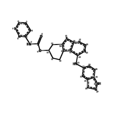 O=C(Nc1cccnn1)OC1CCc2c(sc3ncnc(Nc4ccc5[nH]ncc5c4)c23)C1